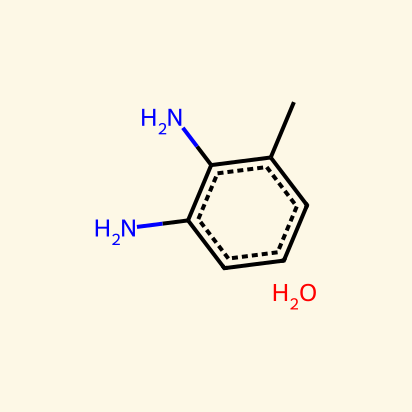 Cc1cccc(N)c1N.O